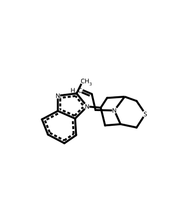 C=CCN1C2CSCC1CC(n1c(C)nc3ccccc31)C2